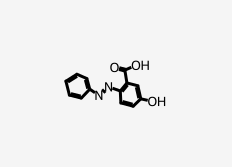 O=C(O)c1cc(O)ccc1/N=N/c1ccccc1